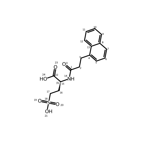 O=C(CCc1cccc2ccccc12)N[C@@H](CCS(=O)(=O)O)C(=O)O